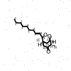 CCCCCCC/C=C/[C@@]1(C)OO[C@@H]2C[C@H]1CC(=O)[C@@H]2C